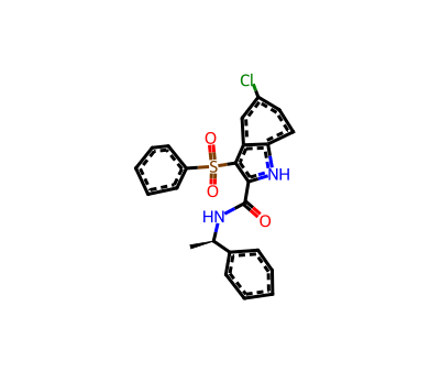 C[C@@H](NC(=O)c1[nH]c2ccc(Cl)cc2c1S(=O)(=O)c1ccccc1)c1ccccc1